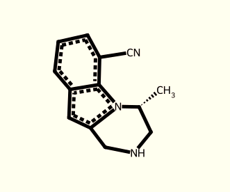 C[C@@H]1CNCc2cc3cccc(C#N)c3n21